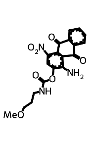 COCCCNC(=O)Oc1cc([N+](=O)[O-])c2c(c1N)C(=O)c1ccccc1C2=O